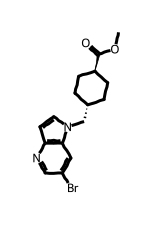 COC(=O)[C@H]1CC[C@H](Cn2ccc3ncc(Br)cc32)CC1